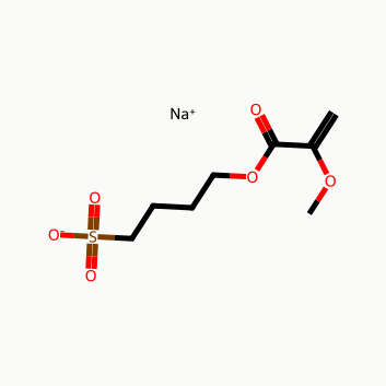 C=C(OC)C(=O)OCCCCS(=O)(=O)[O-].[Na+]